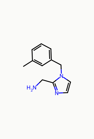 Cc1cccc(Cn2ccnc2CN)c1